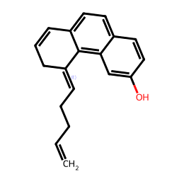 C=CCC/C=C1\CC=Cc2ccc3ccc(O)cc3c21